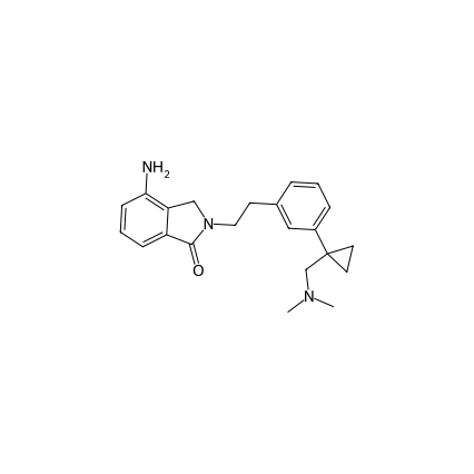 CN(C)CC1(c2cccc(CCN3Cc4c(N)cccc4C3=O)c2)CC1